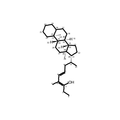 CCC(O)=C(C)C=CCC(C)[C@H]1CC[C@H]2[C@@H]3CCC4CCCC[C@]4(C)[C@H]3CC[C@]12C